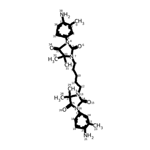 Cc1cc(N2C(=O)N(CCCCCN3C(=O)N(c4ccc(N)c(C)c4)C(=O)C3(C)C)C(C)(C)C2=O)ccc1N